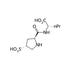 CCC[C@H](NC(=O)[C@@H]1C[C@@H](S(=O)(=O)O)CN1)C(=O)O